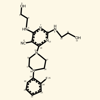 N#Cc1c(NCCO)nc(NCCO)nc1N1CCN(c2ccccc2F)CC1